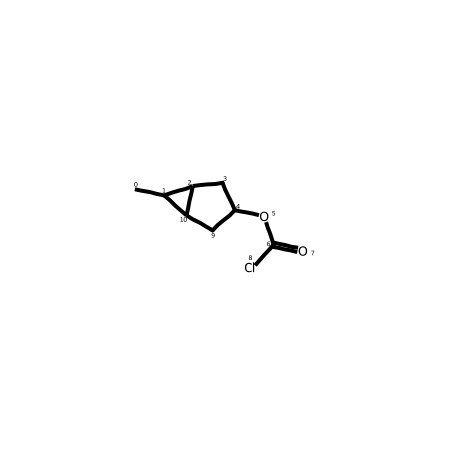 CC1C2CC(OC(=O)Cl)CC12